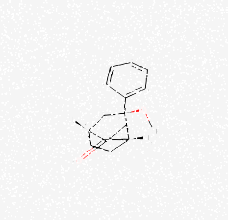 CO[C@]1(c2ccccc2)C[C@H]2CC[C@@H]1CC2=O